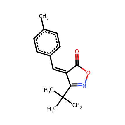 Cc1ccc(C=C2C(=O)ON=C2C(C)(C)C)cc1